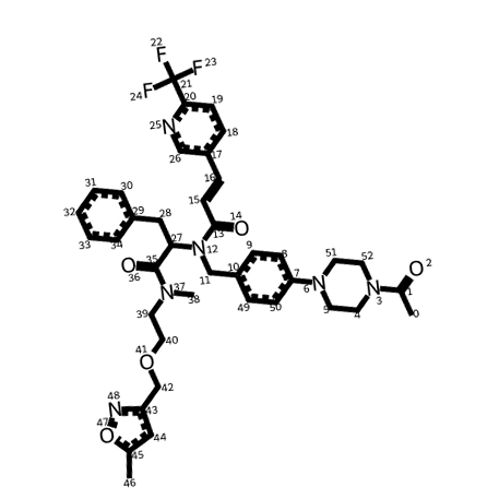 CC(=O)N1CCN(c2ccc(CN(C(=O)C=Cc3ccc(C(F)(F)F)nc3)C(Cc3ccccc3)C(=O)N(C)CCOCc3cc(C)on3)cc2)CC1